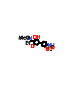 CC/C(=N\OC)C1=C(O)CC(c2ccc(NS(C)(=O)=O)cc2)CC1=O